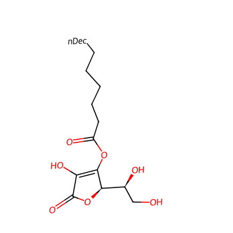 CCCCCCCCCCCCCCCC(=O)OC1=C(O)C(=O)O[C@@H]1[C@@H](O)CO